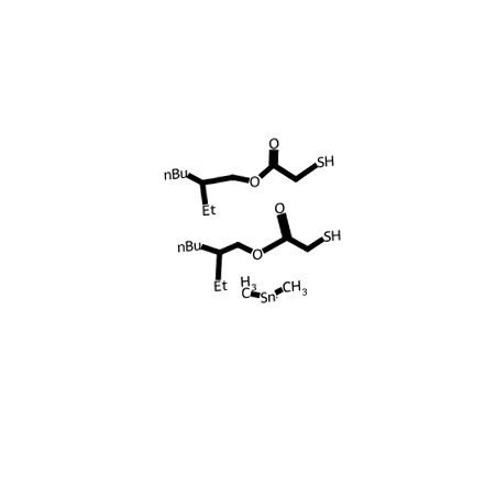 CCCCC(CC)COC(=O)CS.CCCCC(CC)COC(=O)CS.[CH3][Sn][CH3]